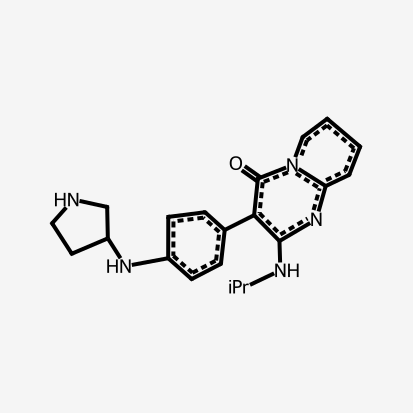 CC(C)Nc1nc2ccccn2c(=O)c1-c1ccc(NC2CCNC2)cc1